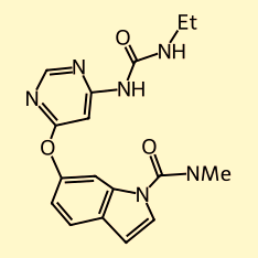 CCNC(=O)Nc1cc(Oc2ccc3ccn(C(=O)NC)c3c2)ncn1